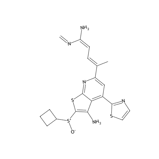 C=N/C(N)=C\C=C(/C)c1cc(-c2nccs2)c2c(N)c([S+]([O-])C3CCC3)sc2n1